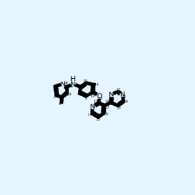 Cc1ccnc(Nc2ccc(Oc3ncccc3-c3ccncn3)cc2)c1